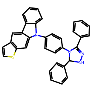 c1ccc(C2=NNC(c3ccccc3)N2c2ccc(-n3c4ccccc4c4cc5ccsc5cc43)cc2)cc1